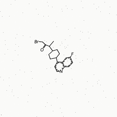 CC(C(=O)CBr)C1CCC(c2ccnc3ccc(F)cc23)CC1